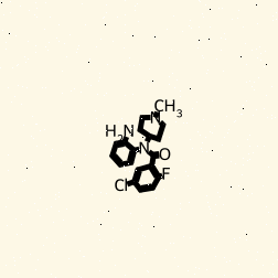 CN1CCC(N(C(=O)c2cc(Cl)ccc2F)c2ccccc2N)CC1